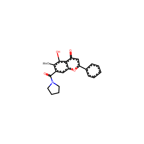 COc1c(C(=O)N2CCCC2)cc2oc(-c3ccccc3)cc(=O)c2c1O